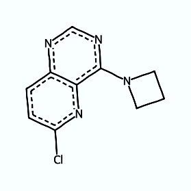 Clc1ccc2ncnc(N3CCC3)c2n1